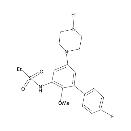 CCN1CCN(c2cc(NS(=O)(=O)CC)c(OC)c(-c3ccc(F)cc3)c2)CC1